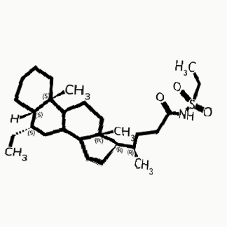 CC[C@H]1CC2C3CC[C@H]([C@H](C)CCC(=O)NS(=O)(=O)CC)[C@@]3(C)CCC2[C@@]2(C)CCCC[C@@H]12